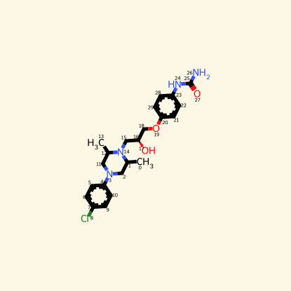 CC1CN(c2ccc(Cl)cc2)CC(C)N1C[C@H](O)COc1ccc(NC(N)=O)cc1